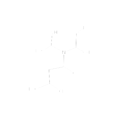 CC(C)CC(C)N(C(C)C)C(C)CI